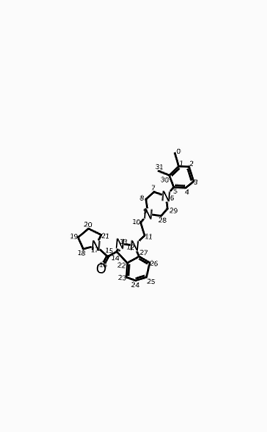 Cc1cccc(N2CCN(CCn3nc(C(=O)N4CCCC4)c4ccccc43)CC2)c1C